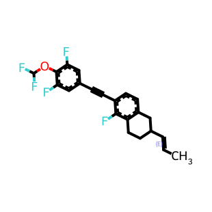 C/C=C/C1CCc2c(ccc(C#Cc3cc(F)c(OC(F)F)c(F)c3)c2F)C1